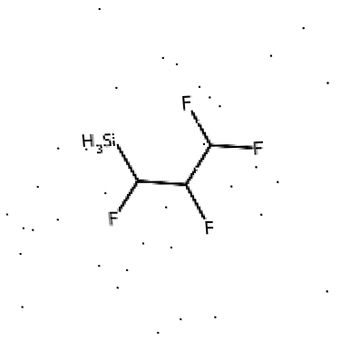 FC(F)C(F)C(F)[SiH3]